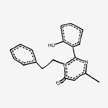 Cc1cc(=O)n(CCc2ccccc2)c(-c2ccccc2O)n1